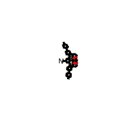 Cc1ccc(-c2ccc3c(c2)c2ccccc2n3-c2cc(C#N)cc(-n3c4ccccc4c4cc(-c5ccc(C)cc5)ccc43)c2-c2nc(C)cc(C)n2)cc1